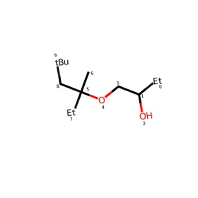 CCC(O)COC(C)(CC)CC(C)(C)C